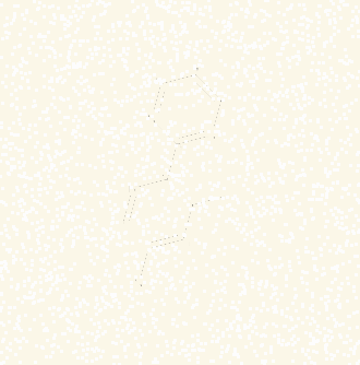 Nc1cnc(-c2ncccn2)c(C(F)(F)F)c1